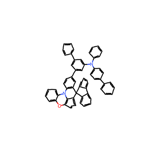 c1ccc(-c2ccc(N(c3ccccc3)c3cc(-c4ccccc4)cc(-c4ccc5c(c4)C4(c6ccccc6-c6ccccc64)c4cccc6c4N5c4ccccc4O6)c3)cc2)cc1